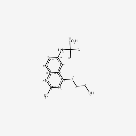 CCc1nc(OCCO)c2cc(NC(C)(C)C(=O)O)ccc2n1